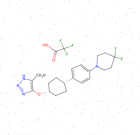 O=C(O)C(F)(F)F.O=C(O)c1[nH]nnc1O[C@H]1CC[C@@H](c2ccc(N3CCC(F)(F)CC3)cc2)CC1